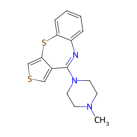 CN1CCN(C2=Nc3ccccc3Sc3cscc32)CC1